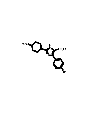 CCOC(=O)c1[nH]c(C2CCC(OC)CC2)nc1-c1ccc(Br)cc1